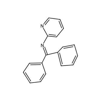 c1ccc(C(=Nc2ccccn2)c2ccccc2)cc1